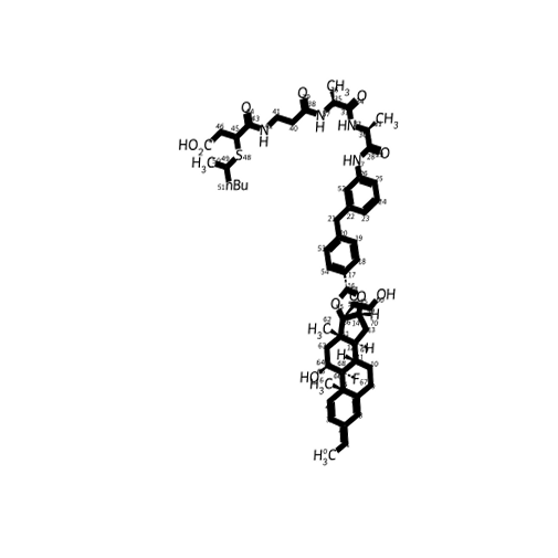 C/C=C1\C=C[C@@]2(C)C(=C1)CC[C@H]1[C@@H]3C[C@H]4O[C@@H](c5ccc(Cc6cccc(NC(=O)[C@H](C)NC(=O)[C@H](C)NC(=O)CCNC(=O)C(CC(=O)O)SC(C)CCCC)c6)cc5)O[C@@]4(C(=O)CO)[C@@]3(C)C[C@H](O)[C@@]12F